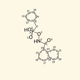 O=C(NOP(=O)(O)Cc1ccccc1)c1cccc2ccccc12